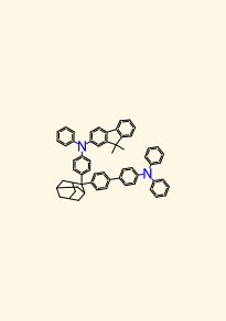 CC1(C)c2ccccc2-c2ccc(N(c3ccccc3)c3ccc(C4(c5ccc(-c6ccc(N(c7ccccc7)c7ccccc7)cc6)cc5)C5CC6CC(C5)CC4C6)cc3)cc21